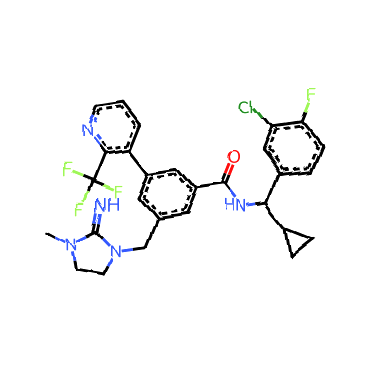 CN1CCN(Cc2cc(C(=O)NC(c3ccc(F)c(Cl)c3)C3CC3)cc(-c3cccnc3C(F)(F)F)c2)C1=N